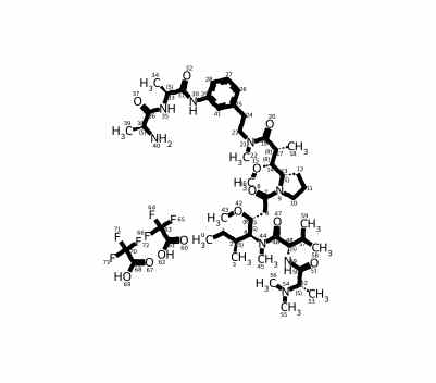 CC[C@H](C)[C@@H]([C@@H](CC(=O)N1CCC[C@H]1[C@H](OC)[C@@H](C)C(=O)N(C)CCc1cccc(NC(=O)[C@H](C)NC(=O)[C@H](C)N)c1)OC)N(C)C(=O)[C@@H](NC(=O)[C@H](C)N(C)C)C(C)C.O=C(O)C(F)(F)F.O=C(O)C(F)(F)F